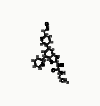 CCNC(=O)Nc1nc2cc(-c3ccc(CN=O)nc3)cc(-c3ccccn3)c2s1